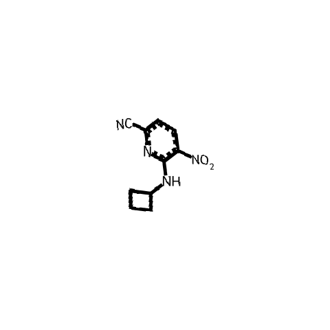 N#Cc1ccc([N+](=O)[O-])c(NC2CCC2)n1